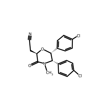 CN1C(=O)[C@@H](CC#N)O[C@H](c2ccc(Cl)cc2)[C@@H]1c1ccc(Cl)cc1